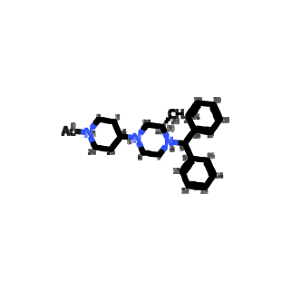 CC(=O)N1CCC(N2CCN(C(c3ccccc3)c3ccccc3)[C@@H](C)C2)CC1